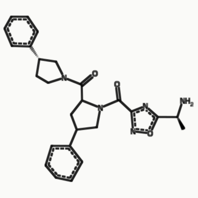 C[C@H](N)c1nc(C(=O)N2CC(c3ccccc3)CC2C(=O)N2CC[C@H](c3ccccc3)C2)no1